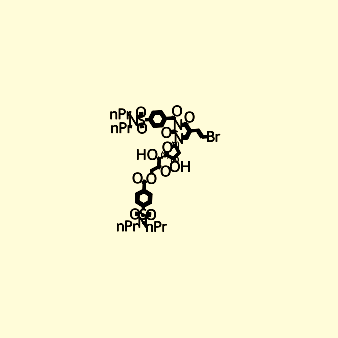 CCCN(CCC)S(=O)(=O)c1ccc(C(=O)OCC(=O)C(O)[C@H]2O[C@@H](n3cc(C=CBr)c(=O)n(C(=O)c4ccc(S(=O)(=O)N(CCC)CCC)cc4)c3=O)C[C@@H]2O)cc1